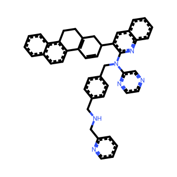 C1=CC(c2cc3ccccc3nc2N(Cc2ccc(CNCc3ccccn3)cc2)c2cnccn2)CC2=C1c1ccc3ccccc3c1CC2